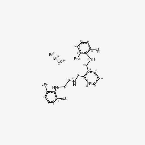 CCc1cccc(CC)c1NCCNCc1ncccc1CNc1c(CC)cccc1CC.[Br-].[Br-].[Co+2]